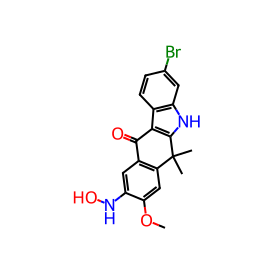 COc1cc2c(cc1NO)C(=O)c1c([nH]c3cc(Br)ccc13)C2(C)C